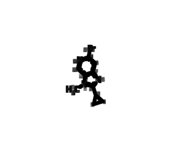 Cn1c(C2CC2)nc2cc(Br)ncc21